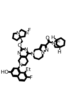 CCc1c(F)ccc2cc(O)cc(N3CCc4c(nc(OC[C@@]56CCCN5C[C@H](F)C6)nc4N4CCCn5nc(C(=O)N6C[C@H]7CCC[C@@H]6C7)cc5C4)C3)c12